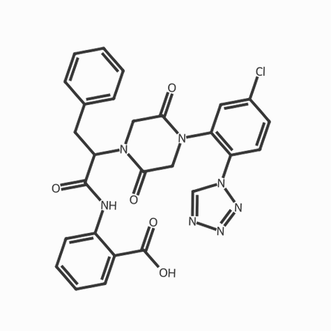 O=C(O)c1ccccc1NC(=O)C(Cc1ccccc1)N1CC(=O)N(c2cc(Cl)ccc2-n2cnnn2)CC1=O